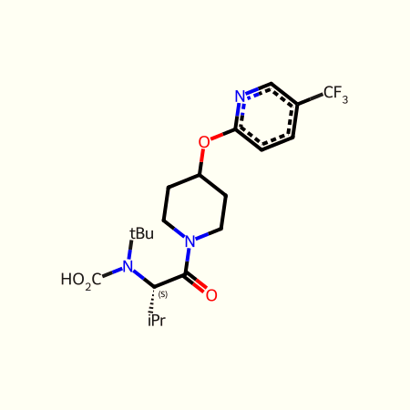 CC(C)[C@@H](C(=O)N1CCC(Oc2ccc(C(F)(F)F)cn2)CC1)N(C(=O)O)C(C)(C)C